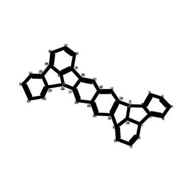 C1=CC2c3ccccc3N3c4cc5cc6c7cccc8c9ccccc9n(c6cc5cc4C(=C1)C23)c87